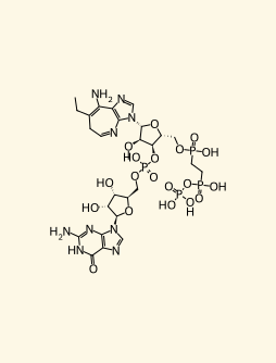 CCC1=C(N)c2ncn([C@@H]3O[C@H](COP(=O)(O)CCP(=O)(O)OP(=O)(O)O)[C@@H](OP(=O)(O)OC[C@H]4O[C@@H](n5cnc6c(=O)[nH]c(N)nc65)[C@H](O)[C@@H]4O)[C@H]3OC)c2N=CC1